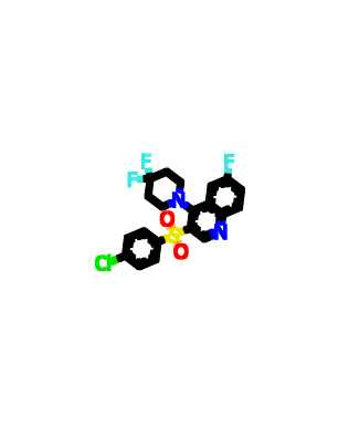 O=S(=O)(c1ccc(Cl)cc1)c1cnc2ccc(F)cc2c1N1CCC(F)(F)CC1